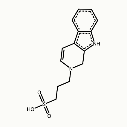 O=S(=O)(O)CCCN1C=Cc2c([nH]c3ccccc23)C1